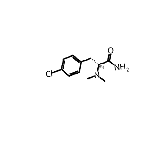 CN(C)[C@H](Cc1ccc(Cl)cc1)C(N)=O